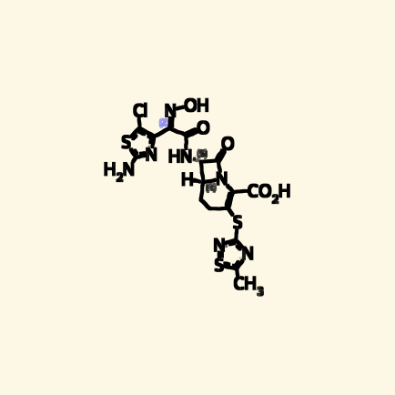 Cc1nc(SC2=C(C(=O)O)N3C(=O)[C@@H](NC(=O)/C(=N\O)c4nc(N)sc4Cl)[C@H]3CC2)ns1